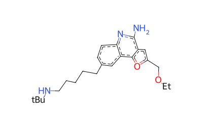 CCOCc1cc2c(N)nc3ccc(CCCCCNC(C)(C)C)cc3c2o1